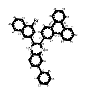 Brc1cc(-c2nc3ccc(-c4ccccc4)cc3nc2-c2ccc3c4ccccc4c4ccccc4c3c2)cc2ccccc12